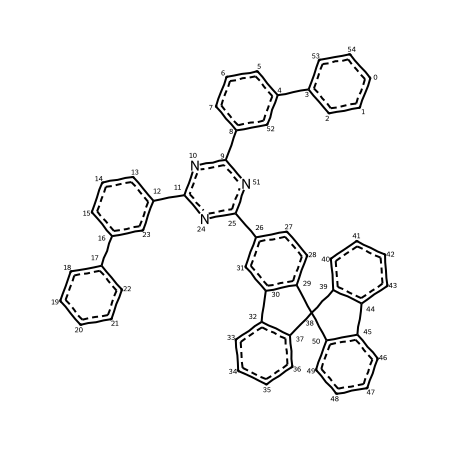 c1ccc(-c2cccc(-c3nc(-c4cccc(-c5ccccc5)c4)nc(-c4ccc5c(c4)-c4ccccc4C54c5ccccc5-c5ccccc54)n3)c2)cc1